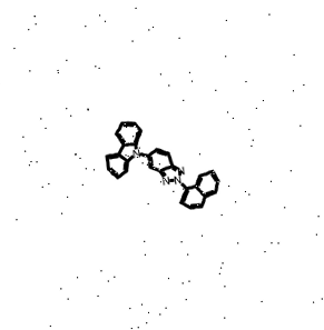 c1ccc2c(-n3nc4ccc(-n5c6ccccc6c6ccccc65)cc4n3)cccc2c1